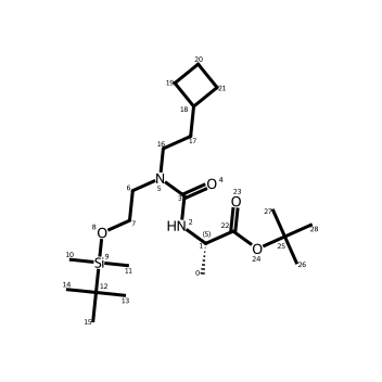 C[C@H](NC(=O)N(CCO[Si](C)(C)C(C)(C)C)CCC1CCC1)C(=O)OC(C)(C)C